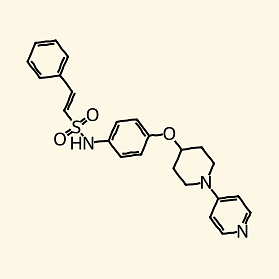 O=S(=O)(C=Cc1ccccc1)Nc1ccc(OC2CCN(c3ccncc3)CC2)cc1